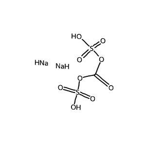 O=C(OS(=O)(=O)O)OS(=O)(=O)O.[NaH].[NaH]